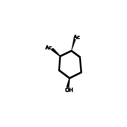 CC(=O)[C@@H]1CC[C@@H](O)C[C@H]1C(C)=O